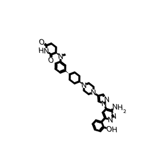 CN(c1cccc([C@H]2CC[C@H](N3CCN(c4cnn(-c5cc(-c6ccccc6O)nnc5N)c4)CC3)CC2)c1)[C@@H]1CCC(=O)NC1=O